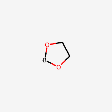 [B]1OCCO1